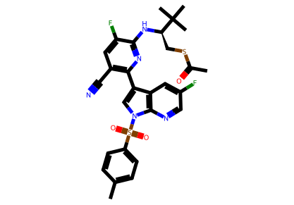 CC(=O)SC[C@@H](Nc1nc(-c2cn(S(=O)(=O)c3ccc(C)cc3)c3ncc(F)cc23)c(C#N)cc1F)C(C)(C)C